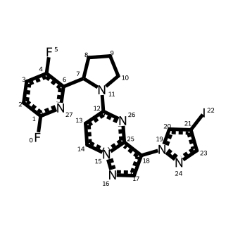 Fc1ccc(F)c(C2CCCN2c2ccn3ncc(-n4cc(I)cn4)c3n2)n1